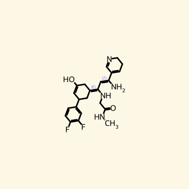 CNC(=O)CNC(/C=C(\N)C1=CCCN=C1)=C1/CC(O)=CC(c2ccc(F)c(F)c2)C1